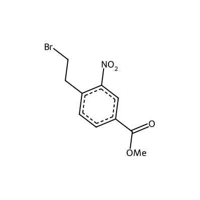 COC(=O)c1ccc(CCBr)c([N+](=O)[O-])c1